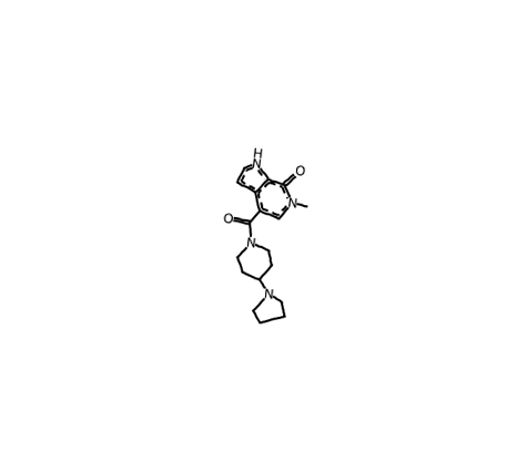 Cn1cc(C(=O)N2CCC(N3CCCC3)CC2)c2cc[nH]c2c1=O